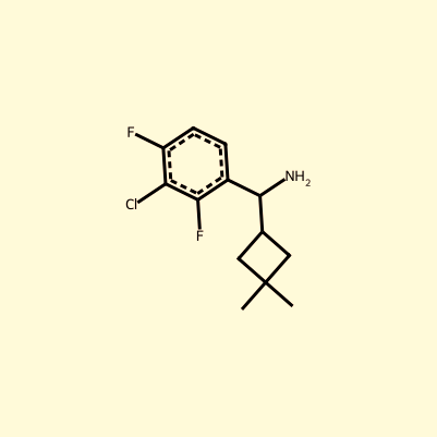 CC1(C)CC(C(N)c2ccc(F)c(Cl)c2F)C1